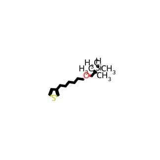 C[SiH](C)C(C)(C)COCCCCCCc1ccsc1